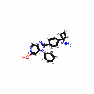 NC1(c2ccc(-c3nc4cnc(O)cc4n3-c3ccccc3)cc2)CCC1